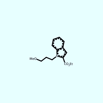 CCOC(=O)c1cc2ccccc2n1CCCOC